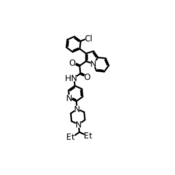 CCC(CC)N1CCN(c2ccc(NC(=O)C(=O)c3c(-c4ccccc4Cl)cc4ccccn34)cn2)CC1